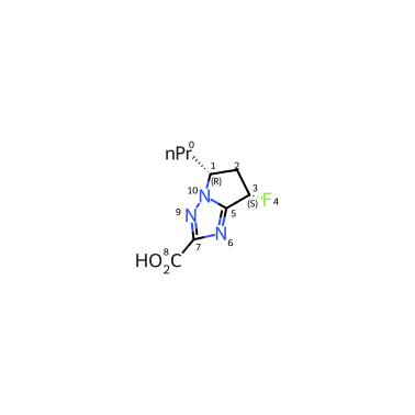 CCC[C@@H]1C[C@H](F)c2nc(C(=O)O)nn21